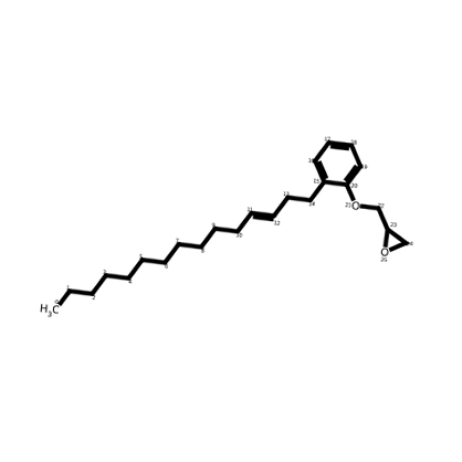 CCCCCCCCCCCC=CCCc1ccccc1OCC1CO1